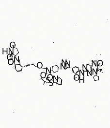 CC[C@@H]1C(=O)N(C)c2cnc(Nc3ccc(-c4cn([C@H]5CC[C@@H](N(CCOCCC#Cc6cccc7c6CN(C6CCC(=O)NC6=O)C7=O)C(=O)OC(C)C(C)SSc6ccccn6)CC5)nn4)cc3OC)nc2N1C1CCCC1